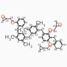 Cc1cc(C)c(Cc2ccccc2OCC2CO2)cc1Cc1cc(Cc2cccc(CC3=C(OCC4CC4)CCC=C3)c2OCC2CO2)c(C)cc1C